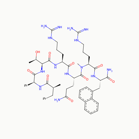 CC(C)C[C@H](C)C(=O)N[C@H](C(=O)N[C@H](C(=O)N[C@@H](CCCNC(=N)N)C(=O)N[C@@H](CCC(N)=O)C(=O)N(C)[C@@H](CCCNC(=N)N)C(=O)N[C@@H](Cc1cccc2ccccc12)C(N)=O)[C@@H](C)O)C(C)C